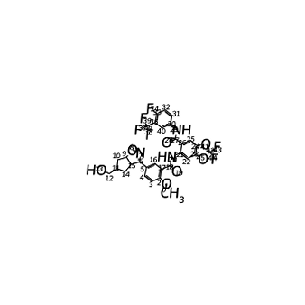 COc1ccc(C2=NOC3CC(CO)CC23)cc1C(=O)Nc1cc2c(cc1C(=O)Nc1ccc(F)c(C(F)(F)F)c1)OC(F)(F)O2